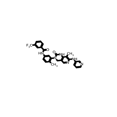 Cc1ccc(NC(=O)c2cccc(C(F)(F)F)c2)cc1N1Cc2cnc(Nc3cccnc3)c(C)c2NC1=O